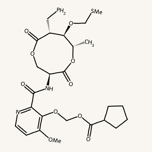 COc1ccnc(C(=O)N[C@H]2COC(=O)[C@H](CP)[C@@H](OCSC)[C@H](C)OC2=O)c1OCOC(=O)C1CCCC1